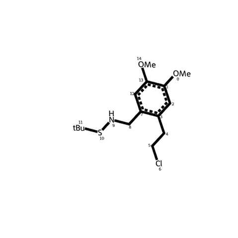 COc1cc(CCCl)c(CNSC(C)(C)C)cc1OC